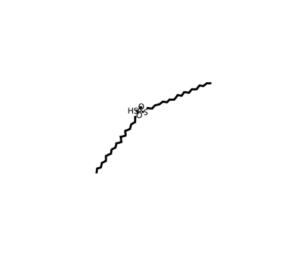 CCCCCCCCCCCCCCCCCCOP(=O)(S)SCCCCCCCCCCCCCCCCCC